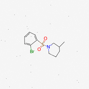 CC1CCCN(S(=O)(=O)c2ccccc2Br)C1